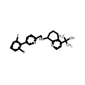 CC(C)(O)c1ccnc2c1CCCC2NCc1ccc(-c2c(F)cccc2F)cn1